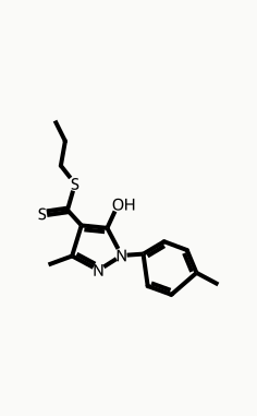 CCCSC(=S)c1c(C)nn(-c2ccc(C)cc2)c1O